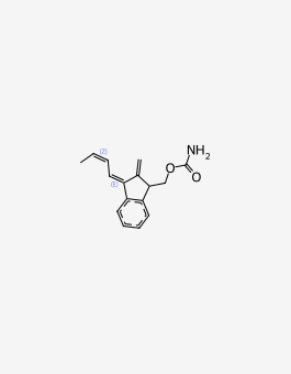 C=C1/C(=C\C=C/C)c2ccccc2C1COC(N)=O